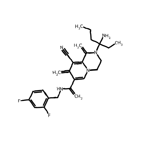 C=C(NCc1ccc(F)cc1F)C1=CN2CCN(C(N)(CC)CCC)C(=C)C2=C(C#N)C1=C